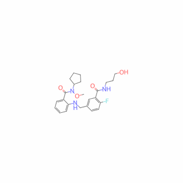 CON(C(=O)c1ccccc1NCc1ccc(F)c(C(=O)NCCCO)c1)C1CCCC1